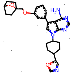 Nc1ncnc2c1c(-c1cccc(OCC34CCC(CC3)O4)c1)cn2C1CCC(c2cnco2)CC1